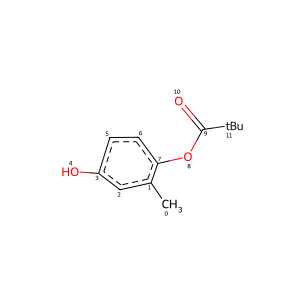 Cc1cc(O)ccc1OC(=O)C(C)(C)C